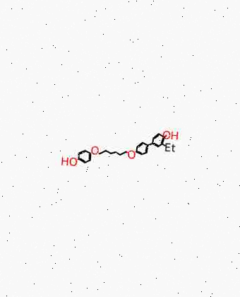 CCc1cc(-c2ccc(OCCCCCCOc3ccc(O)cc3)cc2)ccc1O